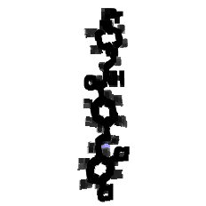 CC(C)N1CCN(CCNC(=O)c2ccc(/C=C/c3ccc(Cl)cc3Cl)cc2)CC1